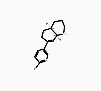 Fc1ccc(C2=C[C@@H]3NCCC[C@@H]3CC2)cn1